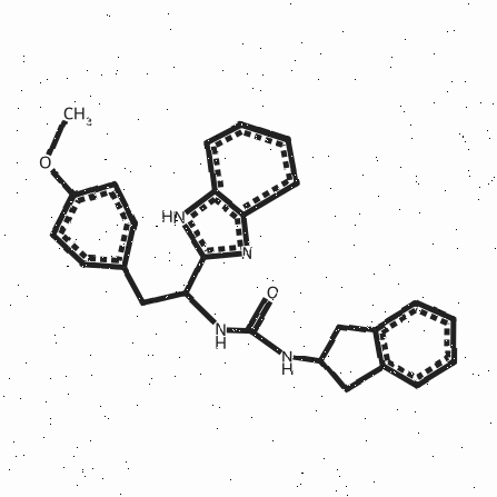 COc1ccc(CC(NC(=O)NC2Cc3ccccc3C2)c2nc3ccccc3[nH]2)cc1